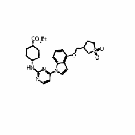 CCOC(=O)[C@H]1CC[C@H](Nc2nccc(-n3ccc4c(OCC5CCS(=O)(=O)C5)cccc43)n2)CC1